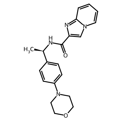 C[C@@H](NC(=O)c1cn2ccccc2n1)c1ccc(N2CCOCC2)cc1